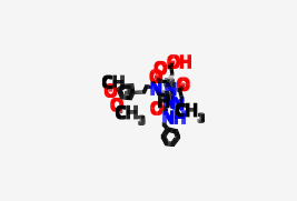 COc1ccc(CCN2C[C@H]3N(C(=O)CN(C)N3C(=O)NCc3ccccc3)[C@@H](CC(=O)O)C2=O)cc1OC